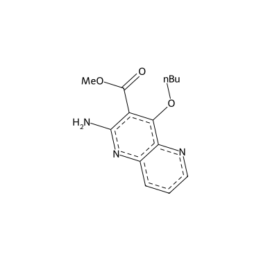 CCCCOc1c(C(=O)OC)c(N)nc2cccnc12